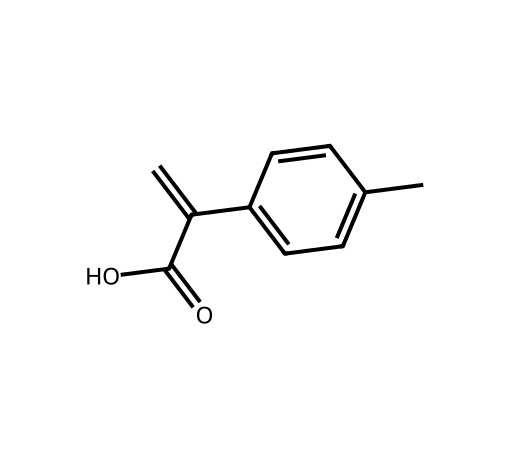 C=C(C(=O)O)c1ccc(C)cc1